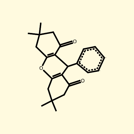 CC1(C)CC(=O)C2=C(C1)OC1=C(C(=O)CC(C)(C)C1)C2c1c[c][c]cc1